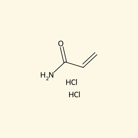 C=CC(N)=O.Cl.Cl